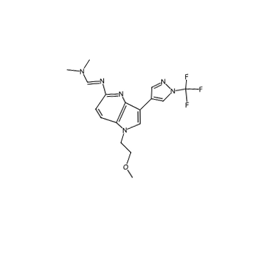 COCCn1cc(-c2cnn(C(F)(F)F)c2)c2nc(/N=C/N(C)C)ccc21